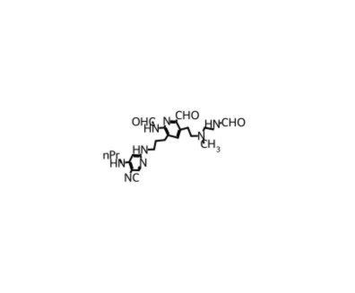 CCCNc1cc(NCCCc2cc(CCN(C)CCNC=O)c(C=O)nc2NC=O)ncc1C#N